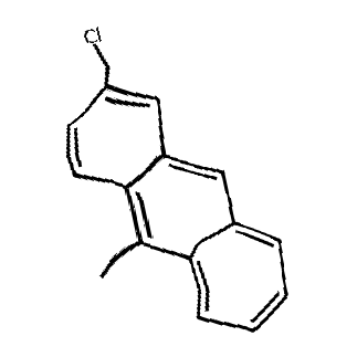 Cc1c2ccccc2cc2cc(Cl)ccc12